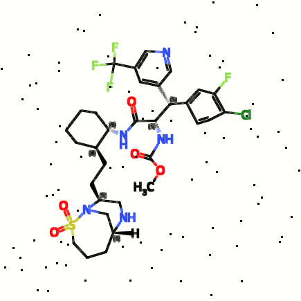 COC(=O)N[C@H](C(=O)N[C@H]1CCCC[C@@H]1CC[C@H]1CN[C@@H]2CCCS(=O)(=O)N1C2)[C@H](c1cncc(C(F)(F)F)c1)c1ccc(Cl)c(F)c1